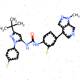 Cn1ncc2c(-c3ccc(NC(=O)Nc4cc(C(C)(C)C)nn4-c4ccc(F)cc4)c(F)c3)cncc21